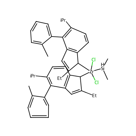 CCC1=Cc2c(ccc(C(C)C)c2-c2ccccc2C)[CH]1[Zr]([Cl])([Cl])([CH]1C(CC)=Cc2c1ccc(C(C)C)c2-c1ccccc1C)[SiH](C)C